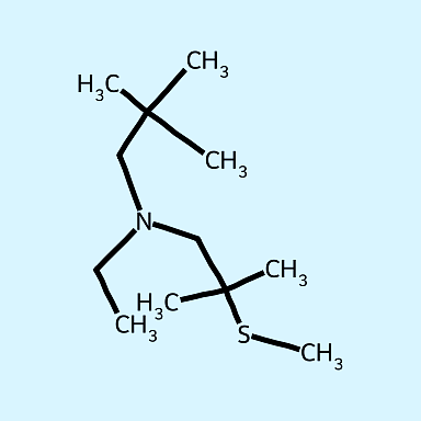 CCN(CC(C)(C)C)CC(C)(C)SC